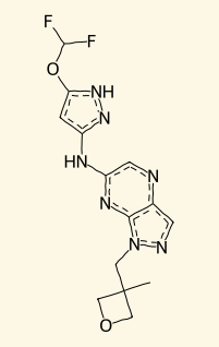 CC1(Cn2ncc3ncc(Nc4cc(OC(F)F)[nH]n4)nc32)COC1